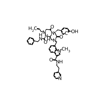 C=CCN1CC(=O)N2[C@@H](Cc3ccc(O)cc3)C(=O)N(Cc3cccc4c(C(=O)NCCc5cccnc5)cn(C)c34)C[C@@H]2N1C(=O)NCc1ccccc1